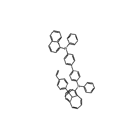 C=Cc1ccc(C(C)(C)C2C3=CC=CC(N(c4ccccc4)c4ccc(-c5ccc(N(c6ccccc6)c6cccc7ccccc67)cc5)cc4)=C2C=CC=C3)cc1